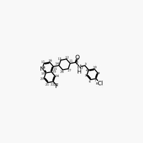 O=C(NCc1ccc(Cl)cc1)C1CCC(c2ccnc3ccc(F)cc23)CC1